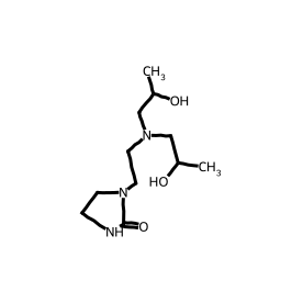 CC(O)CN(CCN1CCNC1=O)CC(C)O